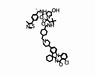 Cc1ncsc1-c1ccc([C@H](C)NC(=O)[C@@H]2C[C@@H](O)CN2C(=O)[C@@H](NC(=O)C2CCC(CN3CCC(c4ccc5c(c4)C4(CCCCC4)c4nc(=O)c6c(Cl)cccc6n4-5)CC3)CC2)C(C)(C)C)cc1